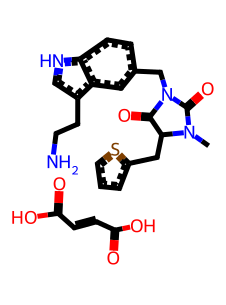 CN1C(=O)N(Cc2ccc3[nH]cc(CCN)c3c2)C(=O)C1Cc1cccs1.O=C(O)C=CC(=O)O